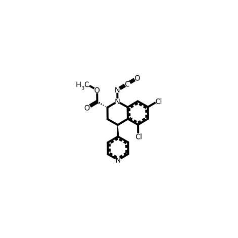 COC(=O)[C@H]1C[C@H](c2ccncc2)c2c(Cl)cc(Cl)cc2N1N=C=O